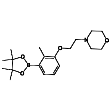 Cc1c(OCCN2CCOCC2)cccc1B1OC(C)(C)C(C)(C)O1